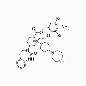 Nc1c(Br)cc(COC(=O)N2CCC(N3CCc4ccccc4NC3=O)C[C@@]2(CC=O)N2CCC(N3CCCNCC3)CC2)cc1Br